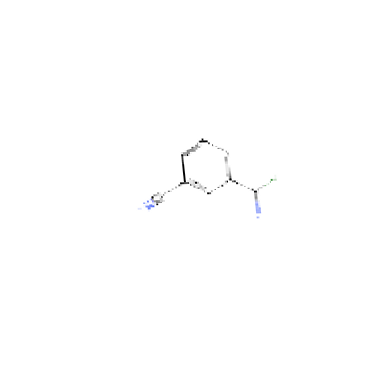 N#Cc1cccc(C(=N)Cl)c1